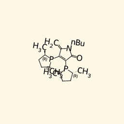 C=C1C(P2[C@H](C)CC[C@H]2C)=C(P2[C@H](C)CC[C@H]2C)C(=O)N1CCCC